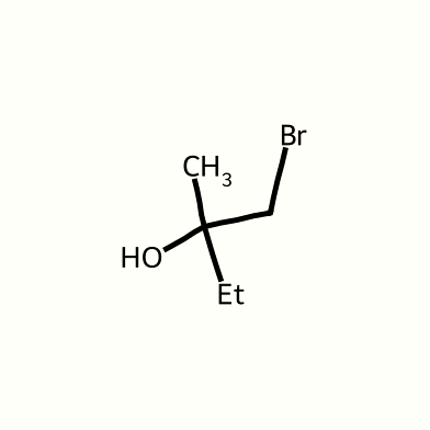 CCC(C)(O)CBr